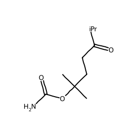 CC(C)C(=O)CCC(C)(C)OC(N)=O